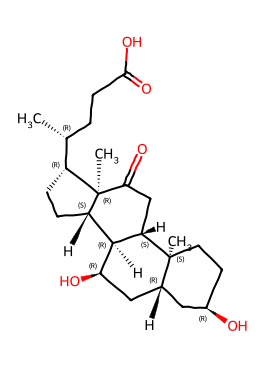 C[C@H](CCC(=O)O)[C@H]1CC[C@H]2[C@@H]3[C@H](O)C[C@H]4C[C@H](O)CC[C@]4(C)[C@H]3CC(=O)[C@]12C